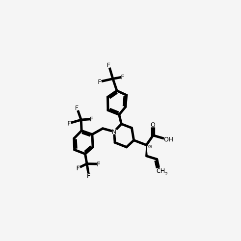 C=CC[C@H](C(=O)O)C1CCN(Cc2cc(C(F)(F)F)ccc2C(F)(F)F)C(c2ccc(C(F)(F)F)cc2)C1